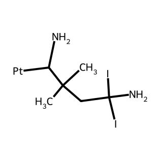 CC(C)(CC(N)(I)I)[CH](N)[Pt]